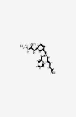 CNC(=N)Nc1cccc(CN(C/C=C/CCO)Cc2ccccn2)c1